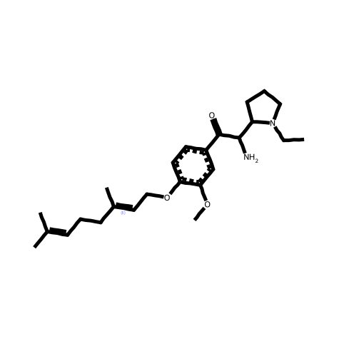 CCN1CCCC1C(N)C(=O)c1ccc(OC/C=C(\C)CCC=C(C)C)c(OC)c1